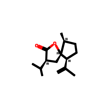 C=C(C)[C@@H]1CC[C@H](C)[C@]12C[C@@H](C(C)C)C(=O)O2